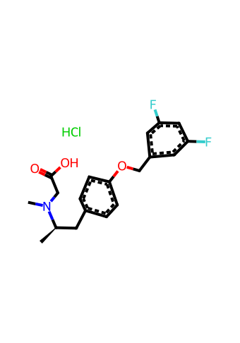 C[C@H](Cc1ccc(OCc2cc(F)cc(F)c2)cc1)N(C)CC(=O)O.Cl